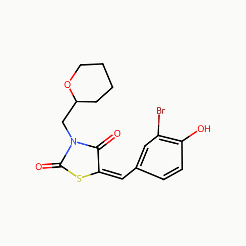 O=C1SC(=Cc2ccc(O)c(Br)c2)C(=O)N1CC1CCCCO1